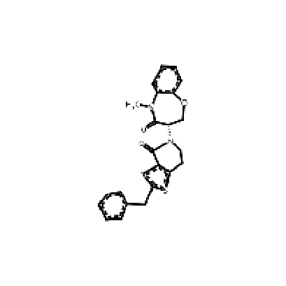 CN1C(=O)[C@@H](N2CCc3sc(Cc4ccccc4)nc3C2=O)COc2ccccc21